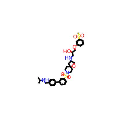 CC(C)NCc1ccc(-c2cccc(S(=O)(=O)N3CCC4(CC3)CC(NCC(O)COc3cccc(S(C)(=O)=O)c3)CO4)c2)cc1